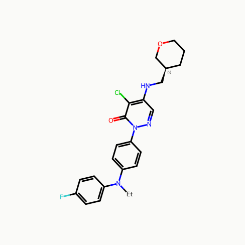 CCN(c1ccc(F)cc1)c1ccc(-n2ncc(NC[C@@H]3CCCOC3)c(Cl)c2=O)cc1